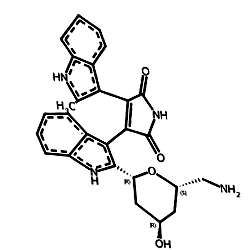 Cc1[nH]c2ccccc2c1C1=C(c2c([C@H]3C[C@H](O)C[C@@H](CN)O3)[nH]c3ccccc23)C(=O)NC1=O